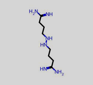 N=C(N)CCCNNCCCC(=N)N